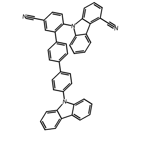 N#Cc1ccc(-n2c3ccccc3c3c(C#N)cccc32)c(-c2ccc(-c3ccc(-n4c5ccccc5c5ccccc54)cc3)cc2)c1